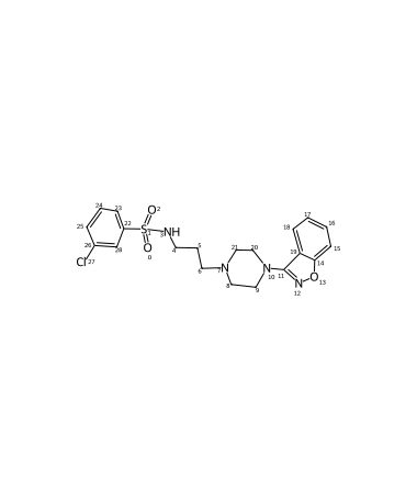 O=S(=O)(NCCCN1CCN(c2noc3ccccc23)CC1)c1cccc(Cl)c1